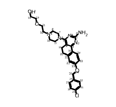 Nc1nc2c(c(N3CCN(CCOCCO)CC3)n1)CCc1cc(OCc3ccc(Cl)cc3)ccc1-2